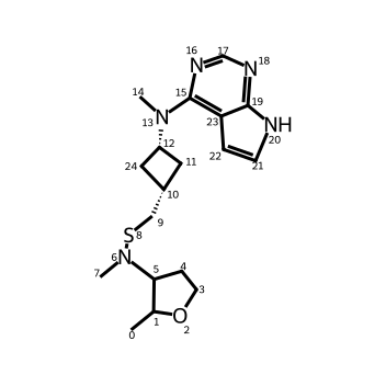 CC1OCCC1N(C)SC[C@H]1C[C@@H](N(C)c2ncnc3[nH]ccc23)C1